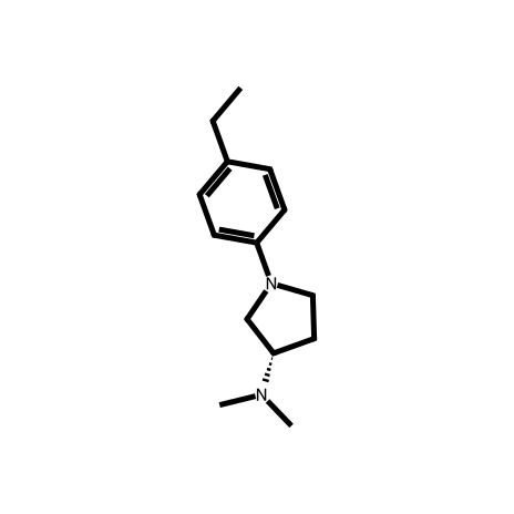 CCc1ccc(N2CC[C@H](N(C)C)C2)cc1